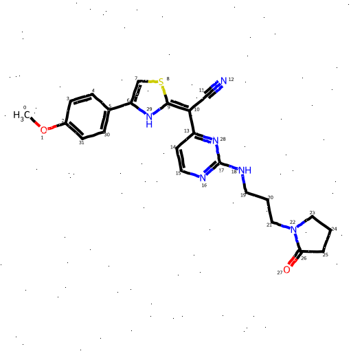 COc1ccc(C2=CSC(=C(C#N)c3ccnc(NCCCN4CCCC4=O)n3)N2)cc1